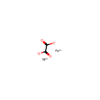 O=C([O-])C(=O)[O-].[Fe+3].[Ni+2]